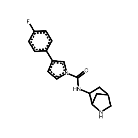 O=C(NC1CC2CNC1C2)n1ccc(-c2ccc(F)cc2)c1